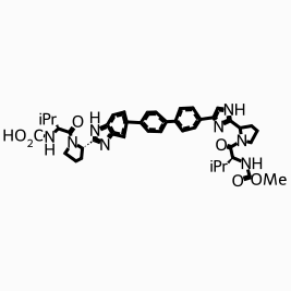 COC(=O)N[C@H](C(=O)N1CCCC1c1nc(-c2ccc(-c3ccc(-c4ccc5[nH]c([C@@H]6CCCN6C(=O)[C@@H](NC(=O)O)C(C)C)nc5c4)cc3)cc2)c[nH]1)C(C)C